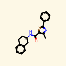 Cc1nc(-c2ccccc2)sc1C(=O)N[C@@H]1CCc2ccccc2C1